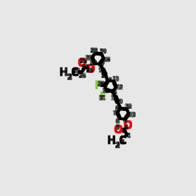 C=CC(=O)Oc1ccc(C#Cc2ccc(C#Cc3ccccc3OC(=O)C=C)c(F)c2F)cc1